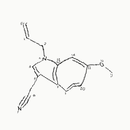 C=CCn1cc(C#N)c2ccc(OC)cc21